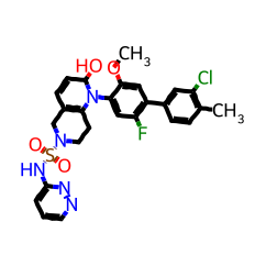 COc1cc(-c2ccc(C)c(Cl)c2)c(F)cc1N1C2=C(C=CC1O)CN(S(=O)(=O)Nc1cccnn1)CC2